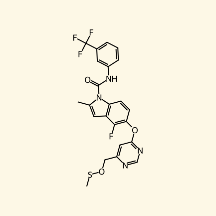 CSOCc1cc(Oc2ccc3c(cc(C)n3C(=O)Nc3cccc(C(F)(F)F)c3)c2F)ncn1